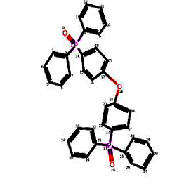 O=P(c1ccccc1)(c1ccccc1)c1ccc(Oc2ccc(P(=O)(c3ccccc3)c3ccccc3)cc2)cc1